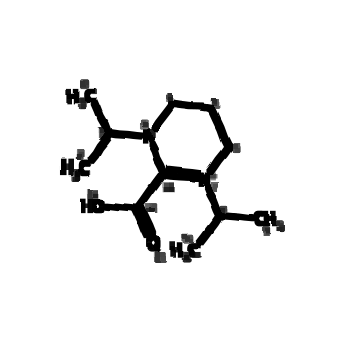 CC(C)N1CCC[N+](C(C)C)=C1C(=O)O